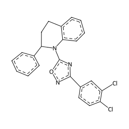 Clc1ccc(-c2noc(N3c4ccccc4CCC3c3ccccc3)n2)cc1Cl